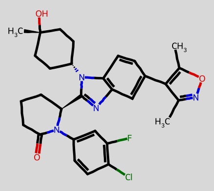 Cc1noc(C)c1-c1ccc2c(c1)nc([C@@H]1CCCC(=O)N1c1ccc(Cl)c(F)c1)n2[C@H]1CC[C@@](C)(O)CC1